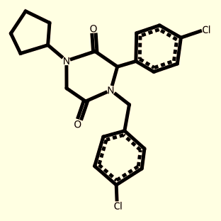 O=C1C(c2ccc(Cl)cc2)N(Cc2ccc(Cl)cc2)C(=O)CN1C1CCCC1